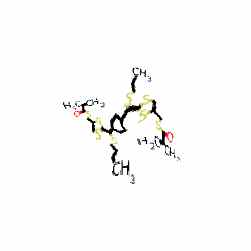 C=C(C)C(=O)SCC1CSC(C(SCCCC)C2CCC(C(SCCCC)C3SCC(CSC(=O)C(=C)C)S3)CC2)S1